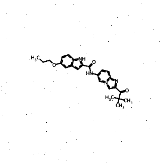 CCCOc1ccc2[nH]c(C(=O)Nc3ccc4nc(C(=O)C(C)(C)C)cn4c3)cc2c1